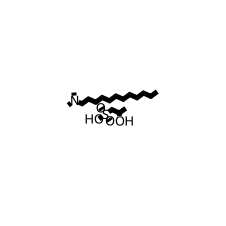 CC(O)CS(=O)(=O)O.CCCCCCCCCCCCN(C)C